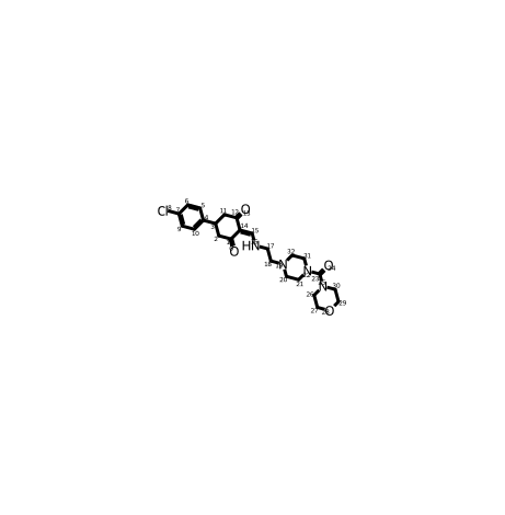 O=C1CC(c2ccc(Cl)cc2)CC(=O)C1=CNCCN1CCN(C(=O)N2CCOCC2)CC1